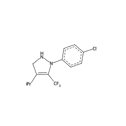 CC(C)C1=C(C(F)(F)F)N(c2ccc(Cl)cc2)NC1